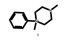 CN1CC[N+](C)(c2ccccc2)CC1.[I-]